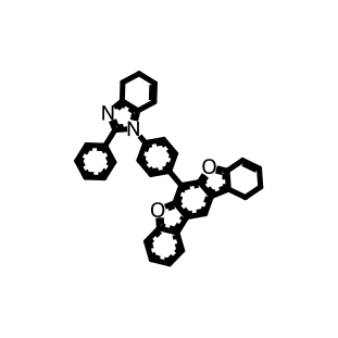 C1=Cc2c(nc(-c3ccccc3)n2-c2ccc(-c3c4oc5c(c4cc4c3oc3ccccc34)CCC=C5)cc2)CC1